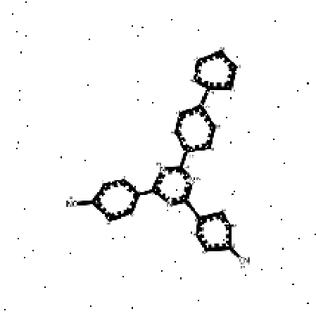 N#Cc1ccc(-c2nc(-c3ccc(C#N)cc3)nc(-c3ccc(-c4ccccc4)cc3)n2)cc1